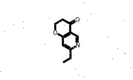 CCc1cc2c(cn1)C(=O)CCO2